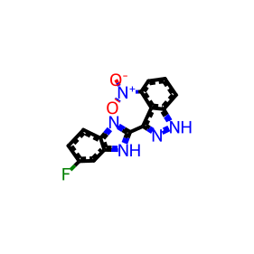 O=[N+]([O-])c1cccc2[nH]nc(-c3nc4ccc(F)cc4[nH]3)c12